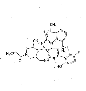 C=CC(=O)N1CC(C)N2c3nc(=O)n(-c4c(C)ccnc4C(C)C)c4cc(-c5c(O)ccc(F)c5F)c(F)c(c34)NCC2C1